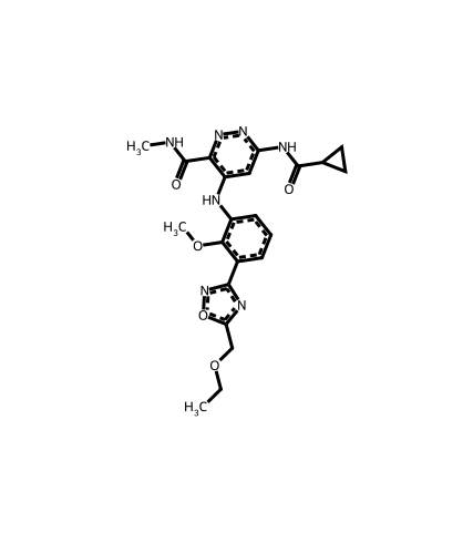 CCOCc1nc(-c2cccc(Nc3cc(NC(=O)C4CC4)nnc3C(=O)NC)c2OC)no1